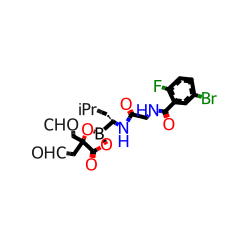 CC(C)C[C@H](NC(=O)CNC(=O)c1cc(Br)ccc1F)B1OC(=O)C(CC=O)(CC=O)O1